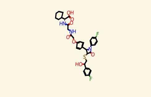 O=C(COc1ccc(C2C(SCC(O)c3ccc(F)cc3)C(=O)N2c2ccc(F)cc2)cc1)NCC(=O)N[C@@H](C(=O)O)C1CCCCC1